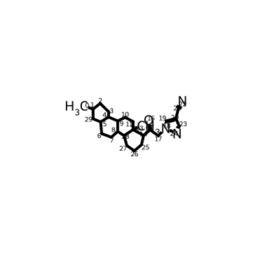 CC1CCC2C(CCC3C2CCC2(C)C(C(=O)Cn4cc(C#N)cn4)CCCC32)C1